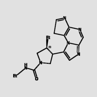 CCNC(=O)N1CC(c2cnc3cnc4c(n23)CC=N4)[C@H](CC)C1